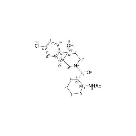 CC(=O)N[C@@H]1CCCC[C@@H]1C(=O)N1CC[C@](O)(c2ccc(Cl)cc2)C(C)(C)C1